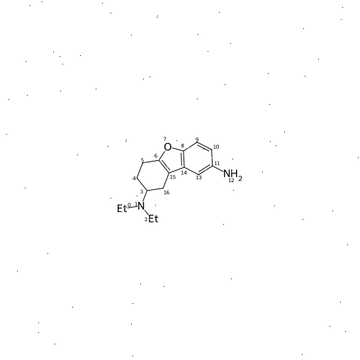 CCN(CC)C1CCc2oc3ccc(N)cc3c2C1